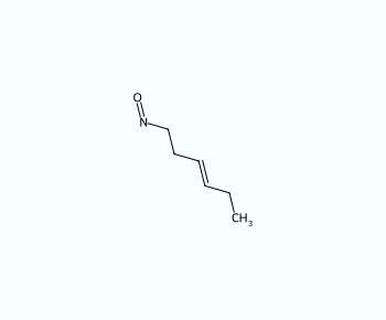 CC/C=C/CCN=O